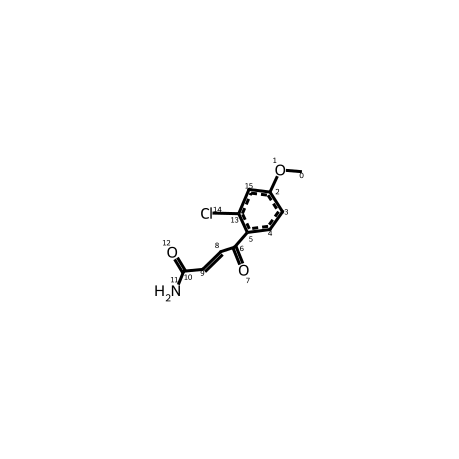 COc1ccc(C(=O)/C=C/C(N)=O)c(Cl)c1